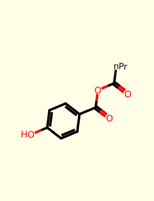 CCCC(=O)OC(=O)c1ccc(O)cc1